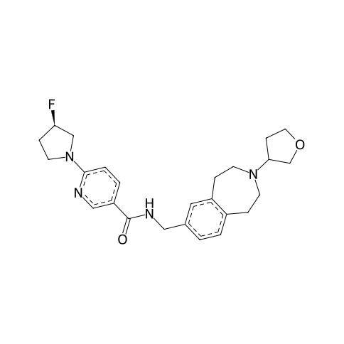 O=C(NCc1ccc2c(c1)CCN(C1CCOC1)CC2)c1ccc(N2CC[C@@H](F)C2)nc1